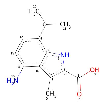 Cc1c(C(=O)O)[nH]c2c(C(C)C)ccc(N)c12